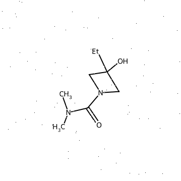 CCC1(O)CN(C(=O)N(C)C)C1